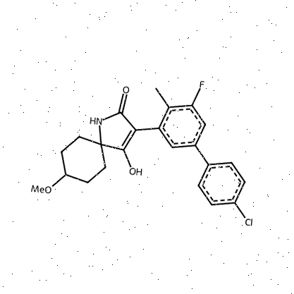 COC1CCC2(CC1)NC(=O)C(c1cc(-c3ccc(Cl)cc3)cc(F)c1C)=C2O